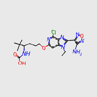 CCn1c(-c2nonc2N)nc2c(Cl)nc(OCCCC(NC(=O)O)C(C)(C)C)cc21